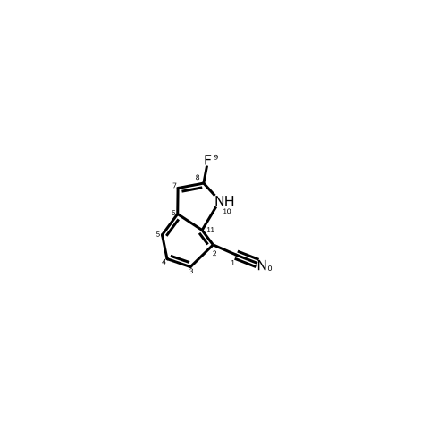 N#Cc1cccc2cc(F)[nH]c12